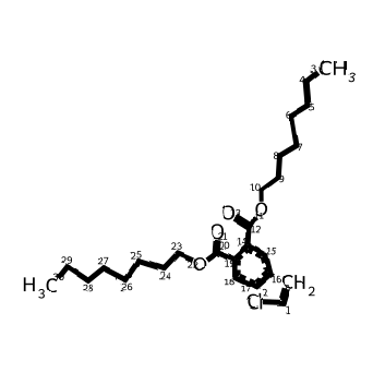 C=CCl.CCCCCCCCOC(=O)c1ccccc1C(=O)OCCCCCCCC